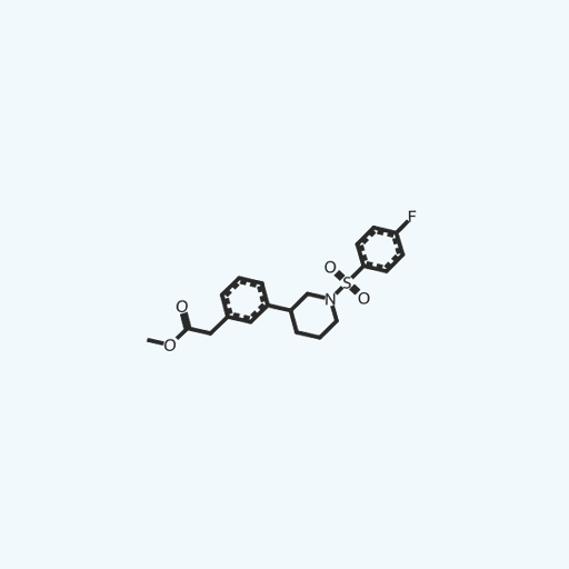 COC(=O)Cc1cccc(C2CCCN(S(=O)(=O)c3ccc(F)cc3)C2)c1